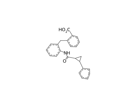 O=C(O)c1ccccc1Cc1ccccc1NC(=O)C1CC1c1ccccc1